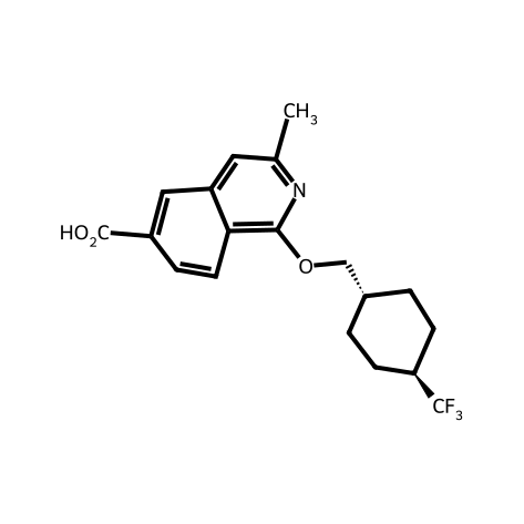 Cc1cc2cc(C(=O)O)ccc2c(OC[C@H]2CC[C@H](C(F)(F)F)CC2)n1